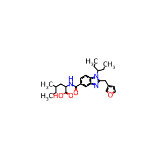 CCC(C)CC(NC(=O)c1ccc2c(c1)nc(Cc1ccoc1)n2C(CC)CC)C(=O)O